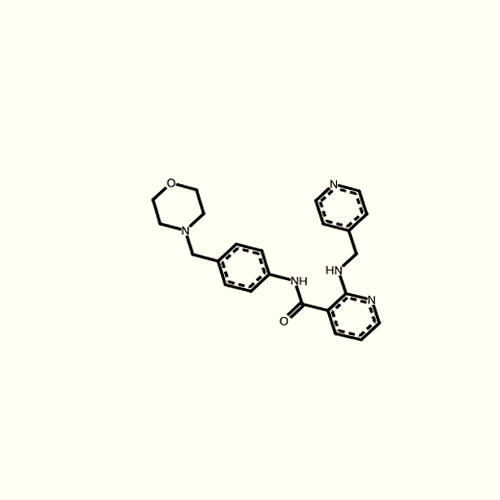 O=C(Nc1ccc(CN2CCOCC2)cc1)c1cccnc1NCc1ccncc1